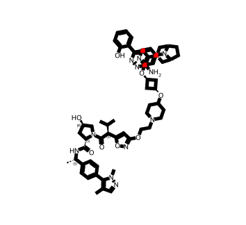 Cc1cnn(C)c1-c1ccc([C@H](C)NC(=O)[C@@H]2C[C@@H](O)CN2C(=O)[C@H](c2cc(OCCN3CCC(O[C@H]4C[C@H](Oc5cc(N6C7CCC6CN(c6cc(-c8ccccc8O)nnc6N)C7)ccn5)C4)CC3)no2)C(C)C)cc1